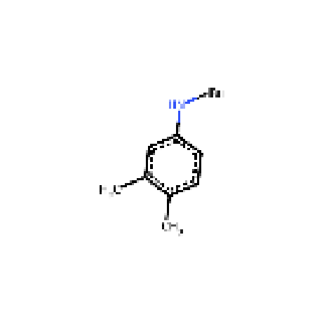 CCC(C)Nc1ccc(C)c(C)c1